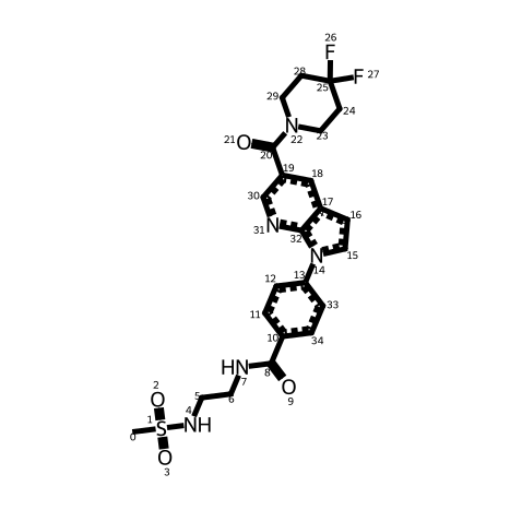 CS(=O)(=O)NCCNC(=O)c1ccc(-n2ccc3cc(C(=O)N4CCC(F)(F)CC4)cnc32)cc1